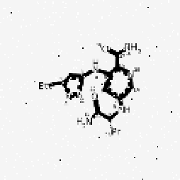 CCc1cc(Nc2cc(N[C@@H](C(N)=O)C(C)C)cnc2C(N)=O)sn1